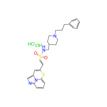 Cl.Cl.O=S(=O)(/C=C/C1=Cc2cnc3cccc(n23)S1)NCC1CCN(CCCc2ccccc2)CC1